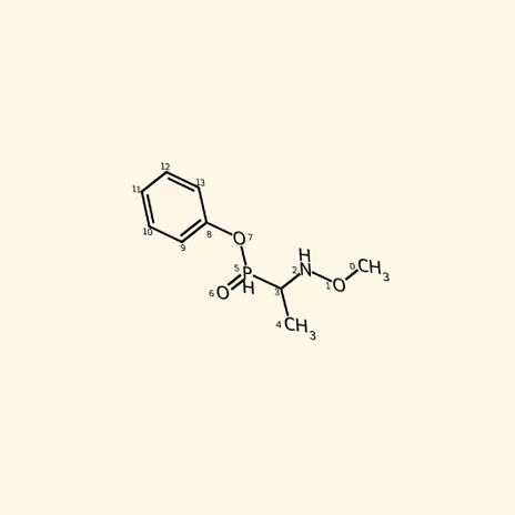 CONC(C)[PH](=O)Oc1ccccc1